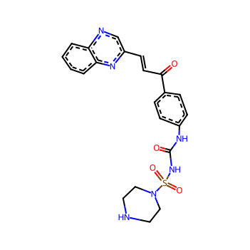 O=C(Nc1ccc(C(=O)C=Cc2cnc3ccccc3n2)cc1)NS(=O)(=O)N1CCNCC1